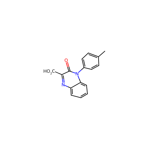 Cc1ccc(-n2c(=O)c(C(=O)O)nc3ccccc32)cc1